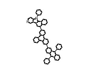 c1ccc(-c2c3ccccc3c(-c3ccccc3)c3cc(-c4ccc5c6ccc(-c7cc8c9cnccc9n(-c9ccccc9)c8c8ccccc78)cc6c6ccccc6c5c4)ccc23)cc1